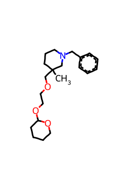 CC1(COCCOC2CCCCO2)CCCN(Cc2ccccc2)C1